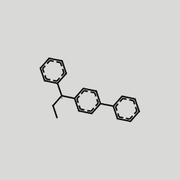 CC[C](c1ccccc1)c1ccc(-c2ccccc2)cc1